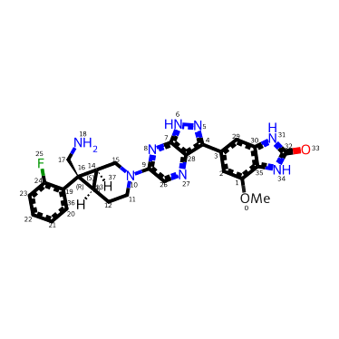 COc1cc(-c2n[nH]c3nc(N4CC[C@@H]5[C@H](C4)[C@@]5(CN)c4ccccc4F)cnc23)cc2[nH]c(=O)[nH]c12